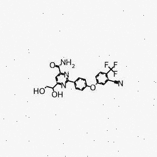 N#Cc1cc(Oc2ccc(-c3nc(C(N)=O)cc(C(O)CO)n3)cc2)ccc1C(F)(F)F